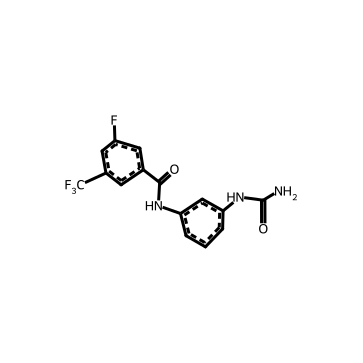 NC(=O)Nc1cccc(NC(=O)c2cc(F)cc(C(F)(F)F)c2)c1